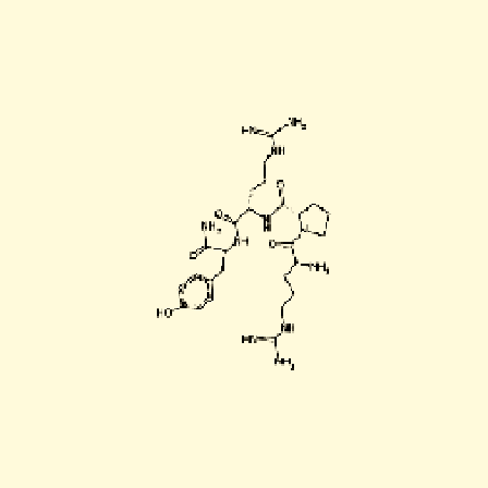 N=C(N)NCCC[C@H](NC(=O)[C@@H]1CCCN1C(=O)[C@@H](N)CCCNC(=N)N)C(=O)N[C@@H](Cc1ccc(O)cc1)C(N)=O